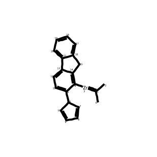 C[C](C)=[Zr][c]1c(C2C=CC=C2)ccc2c1Cc1ccccc1-2